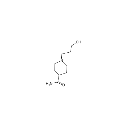 NC(=O)C1CCN(CCCO)CC1